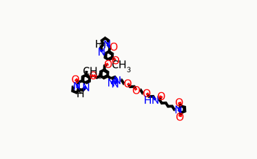 COc1cc2c(cc1OCc1cc(COc3cc4c(cc3C)C(=O)N3CCC[C@H]3C=N4)cc(-c3cn(CCOCCOCCOCCNC(=O)CCCCCN4C(=O)C=CC4=O)nn3)c1)N=C[C@@H]1CCCN1C2=O